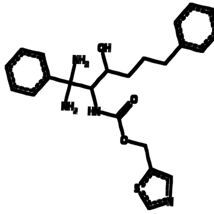 NC(N)(c1ccccc1)C(NC(=O)OCc1cncs1)C(O)CCCc1ccccc1